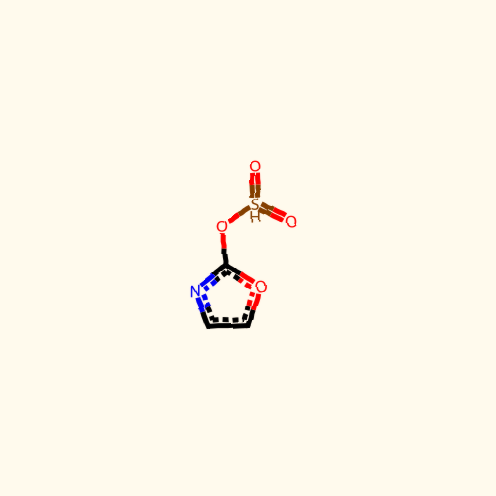 O=[SH](=O)Oc1ncco1